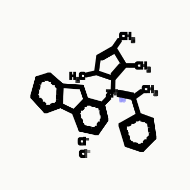 CC1=CC(C)[C](/[Zr+2](=[C](\C)c2ccccc2)[c]2cccc3c2Cc2ccccc2-3)=C1C.[Cl-].[Cl-]